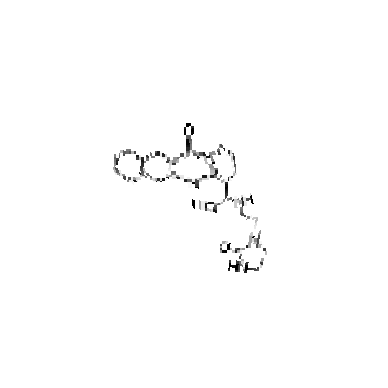 O=C1NCCN1CCNC(O)c1cccn2c(=O)c3cc4ccccc4cc3nc12